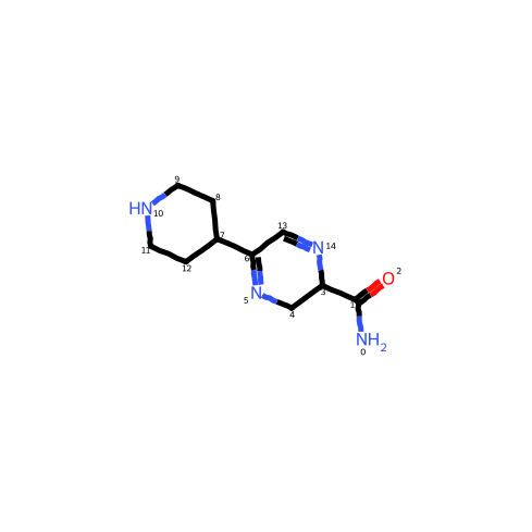 NC(=O)C1CN=C(C2CCNCC2)C=N1